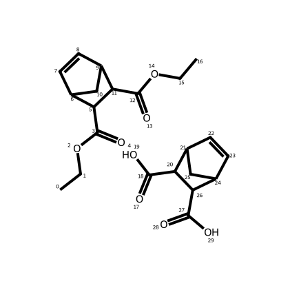 CCOC(=O)C1C2C=CC(C2)C1C(=O)OCC.O=C(O)C1C2C=CC(C2)C1C(=O)O